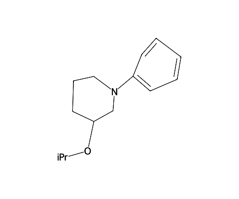 CC(C)OC1CCCN(c2ccccc2)C1